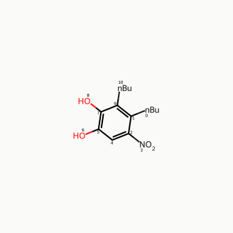 CCCCc1c([N+](=O)[O-])cc(O)c(O)c1CCCC